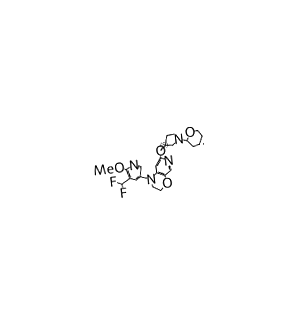 COc1ncc(N2CCOc3cnc(O[C@H]4CCN(C5C[CH]CCO5)C4)cc32)cc1C(F)F